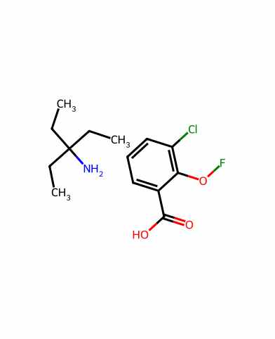 CCC(N)(CC)CC.O=C(O)c1cccc(Cl)c1OF